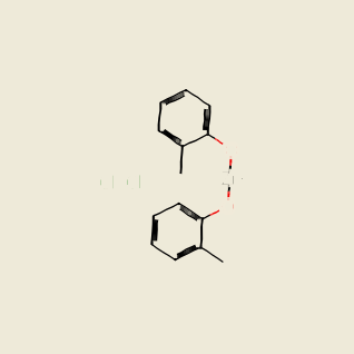 Cc1ccccc1[O][Zr+2][O]c1ccccc1C.[Cl-].[Cl-]